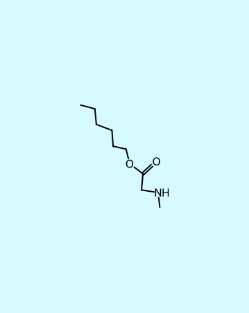 CCCCCCOC(=O)CNC